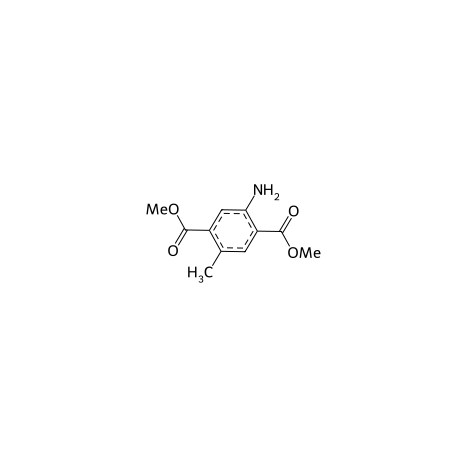 COC(=O)c1cc(N)c(C(=O)OC)cc1C